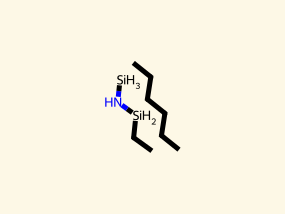 CCCCCC.CC[SiH2]N[SiH3]